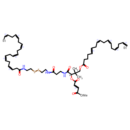 CC/C=C\C/C=C\C/C=C\C/C=C\C/C=C\C/C=C\CC(=O)NCCSSCCNC(=O)CCNC(=O)[C@H](OC(=O)/C=C/C(=O)OC)C(C)(C)COC(=O)CCC/C=C/C/C=C\C/C=C\C/C=C\C/C=C\CC